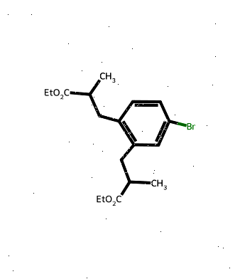 CCOC(=O)C(C)Cc1ccc(Br)cc1CC(C)C(=O)OCC